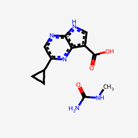 CNC(N)=O.O=C(O)c1c[nH]c2ncc(C3CC3)nc12